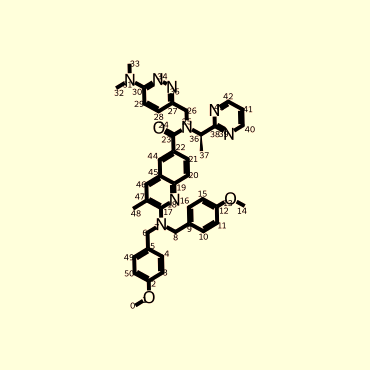 COc1ccc(CN(Cc2ccc(OC)cc2)c2nc3ccc(C(=O)N(Cc4ccc(N(C)C)nn4)[C@H](C)c4ncccn4)cc3cc2C)cc1